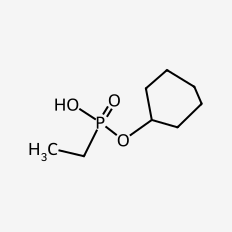 CCP(=O)(O)OC1CCCCC1